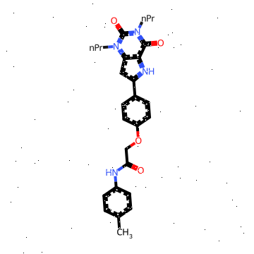 CCCn1c(=O)c2[nH]c(-c3ccc(OCC(=O)Nc4ccc(C)cc4)cc3)cc2n(CCC)c1=O